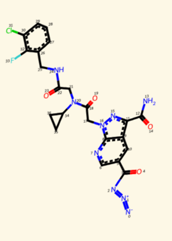 [N-]=[N+]=NC(=O)c1cnc2c(c1)c(C(N)=O)nn2CC(=O)N(CC(=O)NCc1cccc(Cl)c1F)C1CC1